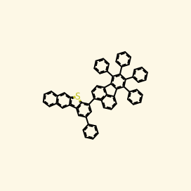 c1ccc(-c2cc(-c3ccc4c5c(cccc35)-c3c(-c5ccccc5)c(-c5ccccc5)c(-c5ccccc5)c(-c5ccccc5)c3-4)c3sc4cc5ccccc5cc4c3c2)cc1